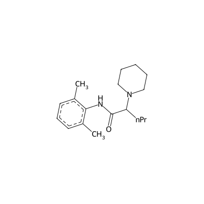 CCCC(C(=O)Nc1c(C)cccc1C)N1CCCCC1